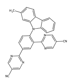 Cc1ccc2c3ccccc3n(-c3ccc(-c4ncc(C#N)cn4)cc3-c3ncc(C#N)cn3)c2c1